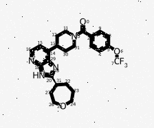 O=C(c1ccc(OC(F)(F)F)cc1)N1CCC(c2ccnc3[nH]c([C@H]4CCCOCC4)nc23)CC1